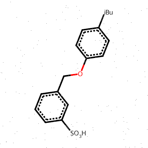 CCC(C)c1ccc(OCc2cccc(S(=O)(=O)O)c2)cc1